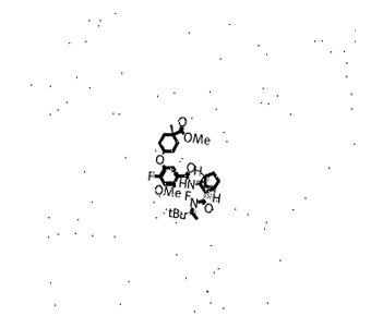 COc1cc(F)c(O[C@H]2CC[C@@](C)(C(=O)OC)CC2)cc1C(=O)N[C@@H]1[C@H]2CC[C@H](C2)[C@@H]1C(=O)N(F)[C@H](C)C(C)(C)C